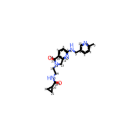 Cc1ccc(CNc2ccc3c(n2)CN(CCNC(=O)C2CC2)C3=O)cn1